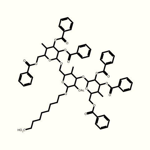 CC(=O)OC1C(OCCCCCCCCC(=O)O)OC(COC2OC(COC(=O)c3ccccc3)C(C)C(OC(=O)c3ccccc3)C2OC(=O)c2ccccc2)C(C)C1OC1OC(COC(=O)c2ccccc2)C(C)C(OC(=O)c2ccccc2)C1OC(=O)c1ccccc1